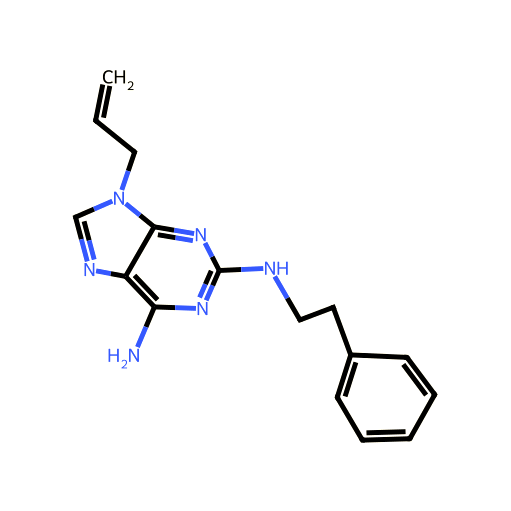 C=CCn1cnc2c(N)nc(NCCc3ccccc3)nc21